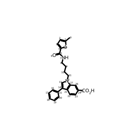 Cc1ccc(C(=O)NCCCCn2cc(-c3ccccc3)c3ccc(C(=O)O)cc32)s1